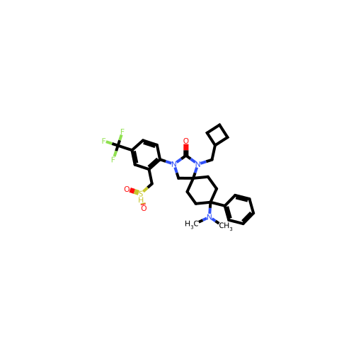 CN(C)C1(c2ccccc2)CCC2(CC1)CN(c1ccc(C(F)(F)F)cc1C[SH](=O)=O)C(=O)N2CC1CCC1